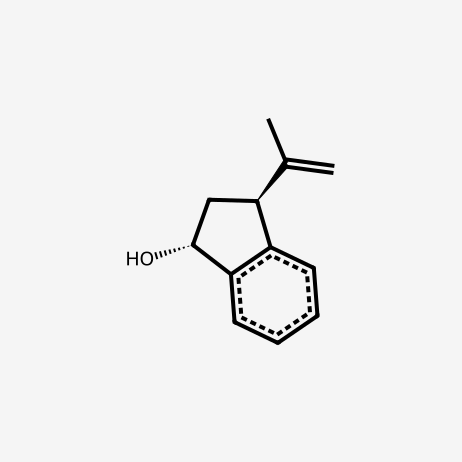 C=C(C)[C@@H]1C[C@@H](O)c2ccccc21